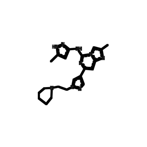 Cc1cn2c(Nc3cc(C)[nH]n3)nc(-c3cnn(CCN4CCCCC4)c3)cc2n1